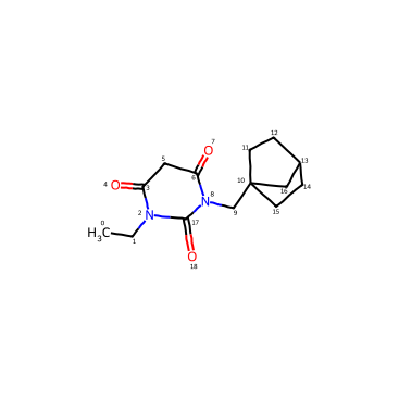 CCN1C(=O)CC(=O)N(CC23CCC(CC2)C3)C1=O